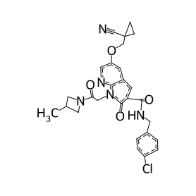 CC1CN(C(=O)Cn2c(=O)c(C(=O)NCc3ccc(Cl)cc3)cc3cc(OCC4(C#N)CC4)cnc32)C1